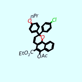 CCCOc1ccc(C2(c3ccc(Cl)cc3)C=Cc3c(C(=O)OCC)c(OC(C)=O)c4ccccc4c3O2)cc1